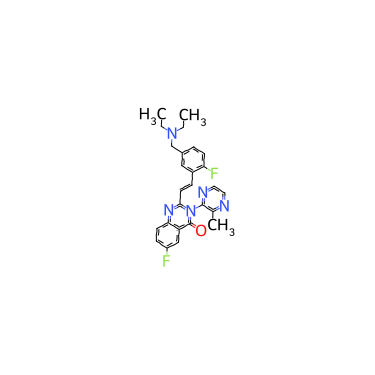 CCN(CC)Cc1ccc(F)c(C=Cc2nc3ccc(F)cc3c(=O)n2-c2nccnc2C)c1